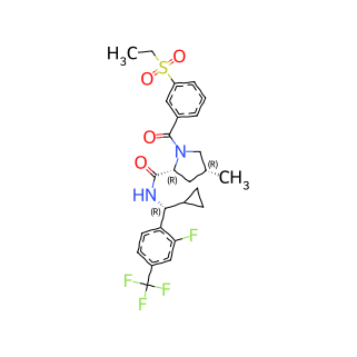 CCS(=O)(=O)c1cccc(C(=O)N2C[C@H](C)C[C@@H]2C(=O)N[C@@H](c2ccc(C(F)(F)F)cc2F)C2CC2)c1